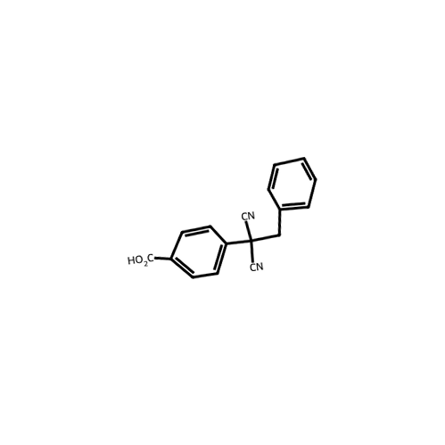 N#CC(C#N)(Cc1ccccc1)c1ccc(C(=O)O)cc1